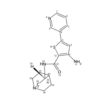 Nc1cc(-c2cccnc2)sc1C(=O)N[C@H]1CN2CCC1CC2